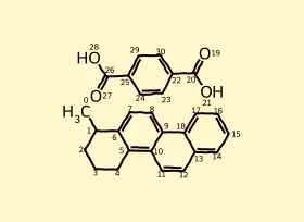 CC1CCCc2c1ccc1c2ccc2ccccc21.O=C(O)c1ccc(C(=O)O)cc1